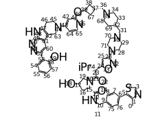 Cc1ncsc1-c1ccc([C@H](C)NC(=O)[C@@H]2C[C@@H](O)CN2C(=O)[C@@H](c2cc(N3CCN(CC4CCN(C[C@H]5C[C@H](Oc6cc(N7CCc8[nH]c9nnc(-c%10ccccc%10O)cc9c8C7)ccn6)C5)CC4)CC3)no2)C(C)C)cc1